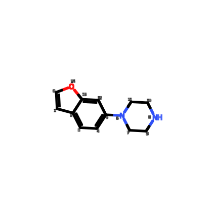 c1cc2ccc(N3CCNCC3)cc2o1